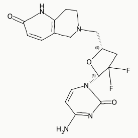 Nc1ccn([C@@H]2O[C@H](CN3CCc4[nH]c(=O)ccc4C3)CC2(F)F)c(=O)n1